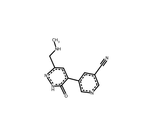 CNCc1cc(-c2cncc(C#N)c2)c(=O)[nH]n1